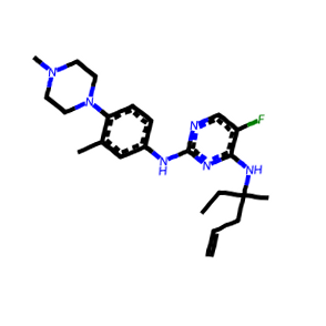 C=CCC(C)(CC)Nc1nc(Nc2ccc(N3CCN(C)CC3)c(C)c2)ncc1F